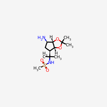 CC1(C)O[C@@H]2[C@H](O1)[C@@H](C(C)(C)NS(C)(=O)=O)C[C@H]2N